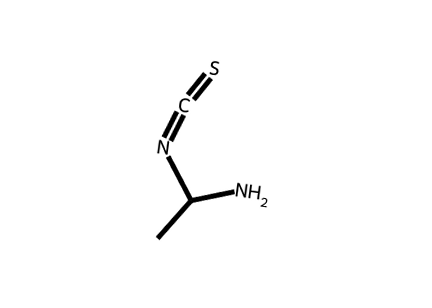 CC(N)N=C=S